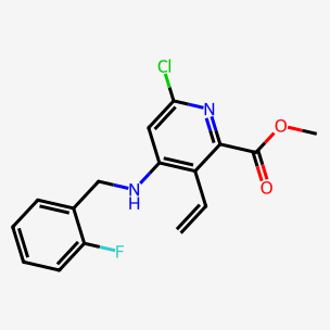 C=Cc1c(NCc2ccccc2F)cc(Cl)nc1C(=O)OC